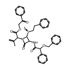 C=C(C)C(C(=O)OCC(=O)c1ccccc1)N1C(=O)C(NC(=O)C(OCc2ccccc2)c2ccccc2)C1S(=S)CCc1ccccc1